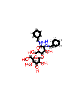 OCC1O[C@@H](NCc2ccccc2)[C@@H](NCc2ccccc2)C(O)[C@@H]1O[C@H]1OC(CO)[C@@H](O)[C@H](O)C1O